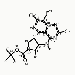 CC1C(N(C)c2nc(Cl)nc3c(F)c(Cl)ncc23)CCN1C(=O)OC(C)(C)C